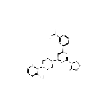 CC(=O)c1cccc(-c2cc(N3CCN(c4ncccc4Cl)C[C@H]3C)nc(N3CCCC3C)n2)c1